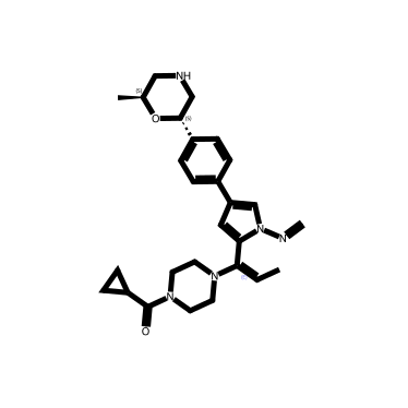 C=Nn1cc(-c2ccc([C@H]3CNC[C@H](C)O3)cc2)cc1/C(=C\C)N1CCN(C(=O)C2CC2)CC1